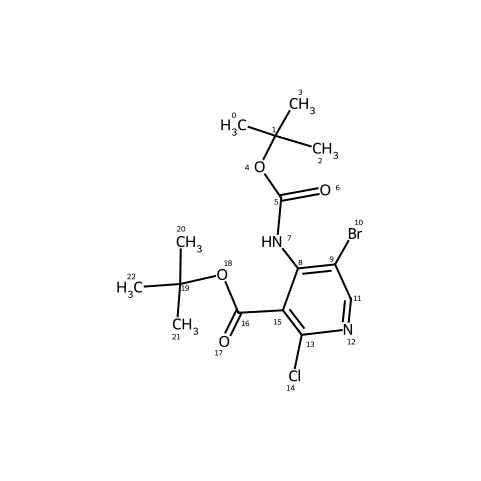 CC(C)(C)OC(=O)Nc1c(Br)cnc(Cl)c1C(=O)OC(C)(C)C